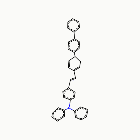 C1=CC(c2ccc(-c3ccccc3)cc2)CC=C1/C=C/c1ccc(N(c2ccccc2)c2ccccc2)cc1